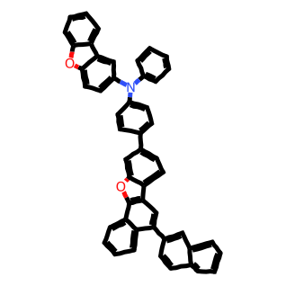 c1ccc(N(c2ccc(-c3ccc4c(c3)oc3c5ccccc5c(-c5ccc6ccccc6c5)cc43)cc2)c2ccc3oc4ccccc4c3c2)cc1